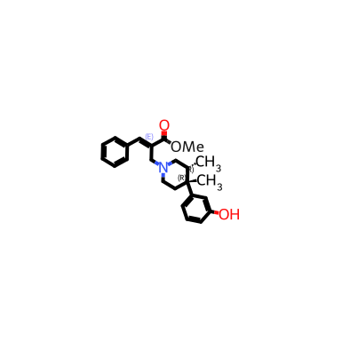 COC(=O)/C(=C/c1ccccc1)CN1CC[C@@](C)(c2cccc(O)c2)[C@@H](C)C1